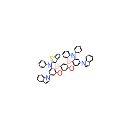 c1ccc(N2c3ccccc3B3c4cc5c(cc4Oc4cc(-n6ccc7ccccc76)cc2c43)Oc2cc(-n3ccc4ccccc43)cc3c2B5c2c(sc4ccccc24)N3c2ccccc2)cc1